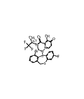 C[C@@H](N1CN([C@H]2c3ccc(F)cc3SCc3cccc(Br)c32)n2ccc(=O)c(O)c2C1=O)C(F)(F)F